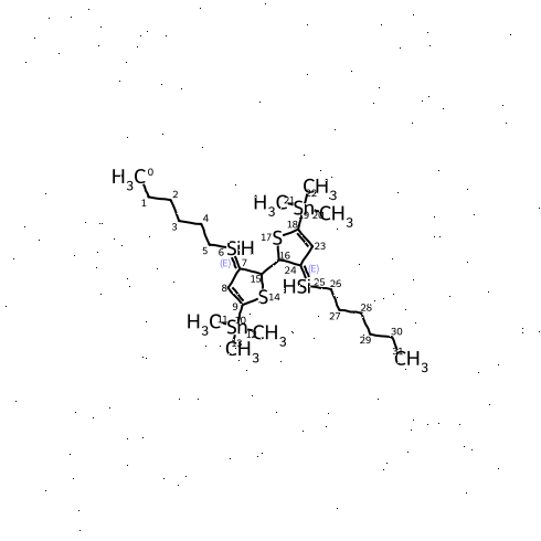 CCCCCC/[SiH]=C1\C=[C]([Sn]([CH3])([CH3])[CH3])SC1C1S[C]([Sn]([CH3])([CH3])[CH3])=C/C1=[SiH]\CCCCCC